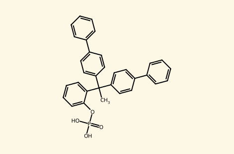 CC(c1ccc(-c2ccccc2)cc1)(c1ccc(-c2ccccc2)cc1)c1ccccc1OP(=O)(O)O